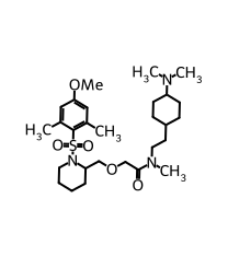 COc1cc(C)c(S(=O)(=O)N2CCCCC2COCC(=O)N(C)CCC2CCC(N(C)C)CC2)c(C)c1